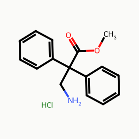 COC(=O)C(CN)(c1ccccc1)c1ccccc1.Cl